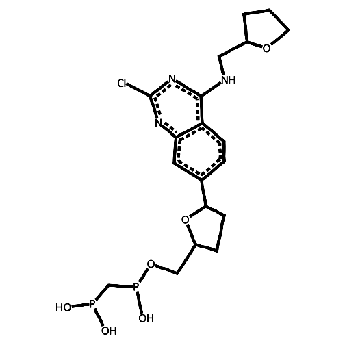 OP(O)CP(O)OCC1CCC(c2ccc3c(NCC4CCCO4)nc(Cl)nc3c2)O1